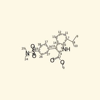 COC(=O)c1[nH]c2c(C(C)C)cccc2c1-c1ccc(S(=O)(=O)N(C)C)cc1